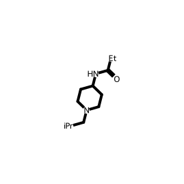 CCC(=O)NC1CCN(CC(C)C)CC1